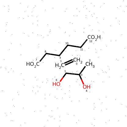 C=C.CC(O)CO.O=C(O)CCCCC(=O)O